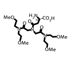 COCCN(CCOC)C(=O)CN(CC(=O)N(CCOC)CCOC)C(=O)C[C@H](N)C(=O)O